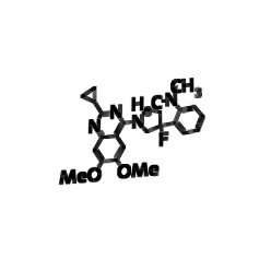 COc1cc2nc(C3CC3)nc(N3CCC(F)(c4ccccc4N(C)C)C3)c2cc1OC